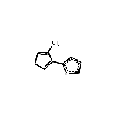 CC1=[C]CC=C1c1ccco1